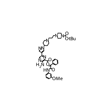 COc1cccc(NC(=O)[C@H](OC(=O)c2nc(-c3cnn(C4CCN(CCCN5CCN(C(=O)OC(C)(C)C)CC5)CC4)c3)cnc2N)c2ccccc2)c1